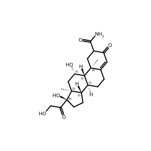 C[C@]12CC(C(N)=O)C(=O)C=C1CC[C@@H]1[C@@H]2[C@@H](O)C[C@@]2(C)[C@H]1CC[C@]2(O)C(=O)CO